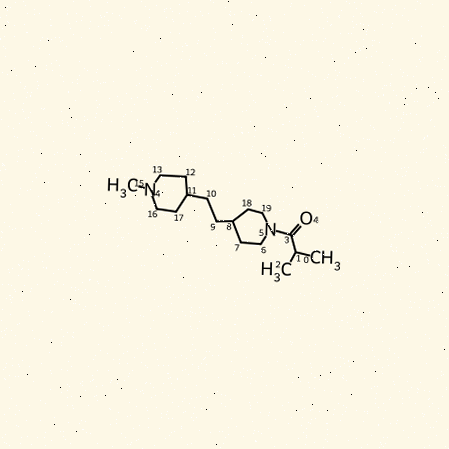 CC(C)C(=O)N1CCC(CCC2CCN(C)CC2)CC1